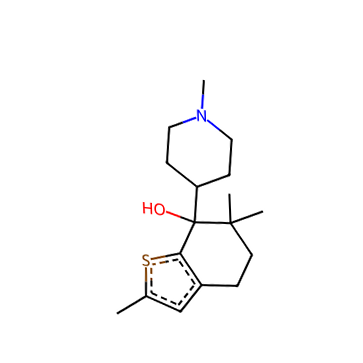 Cc1cc2c(s1)C(O)(C1CCN(C)CC1)C(C)(C)CC2